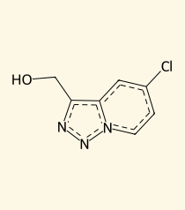 OCc1nnn2ccc(Cl)cc12